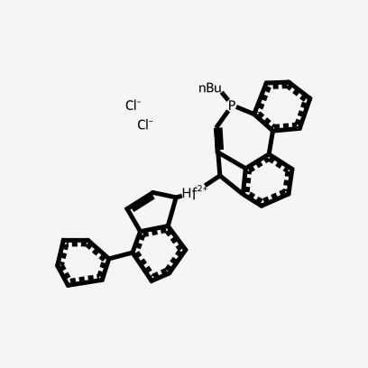 CCCCP1C2=Cc3c(cccc3[CH]2[Hf+2][CH]2C=Cc3c(-c4ccccc4)cccc32)-c2ccccc21.[Cl-].[Cl-]